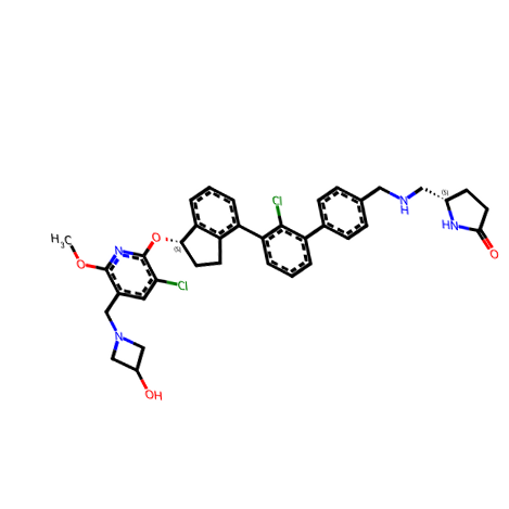 COc1nc(O[C@H]2CCc3c(-c4cccc(-c5ccc(CNC[C@@H]6CCC(=O)N6)cc5)c4Cl)cccc32)c(Cl)cc1CN1CC(O)C1